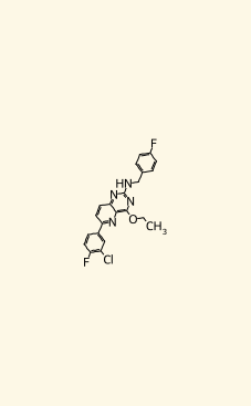 CCOc1nc(NCc2ccc(F)cc2)nc2ccc(-c3ccc(F)c(Cl)c3)nc12